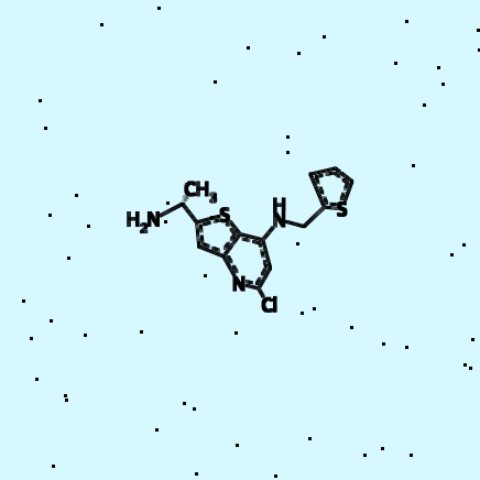 C[C@@H](N)c1cc2nc(Cl)cc(NCc3cccs3)c2s1